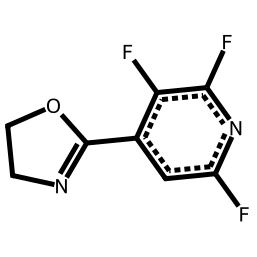 Fc1cc(C2=NCCO2)c(F)c(F)n1